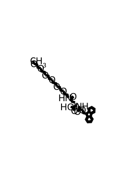 COCCOCCOCCOCCOCCOCCNC(=O)CC[C@H](NC(=O)OCC1c2ccccc2-c2ccccc21)C(=O)O